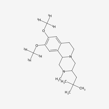 [2H]C([2H])([2H])Oc1cc2c(cc1OC([2H])([2H])[2H])C1CN(C)C(CC(C)(C)C)CN1CC2